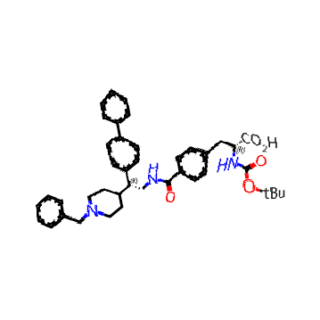 CC(C)(C)OC(=O)N[C@H](Cc1ccc(C(=O)NC[C@@H](c2ccc(-c3ccccc3)cc2)C2CCN(Cc3ccccc3)CC2)cc1)C(=O)O